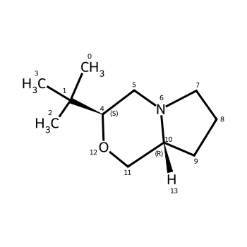 CC(C)(C)[C@H]1CN2CCC[C@@H]2CO1